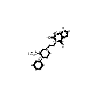 CCOC(=O)[C@H]1CN(CCn2c(=O)[nH]c3sccc3c2=O)CC[C@H]1c1ccccc1